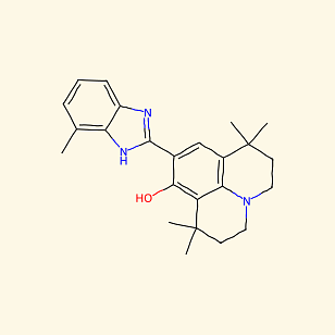 Cc1cccc2nc(-c3cc4c5c(c3O)C(C)(C)CCN5CCC4(C)C)[nH]c12